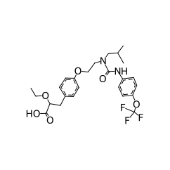 CCOC(Cc1ccc(OCCN(CC(C)C)C(=O)Nc2ccc(OC(F)(F)F)cc2)cc1)C(=O)O